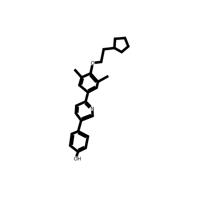 Cc1cc(-c2ccc(-c3ccc(O)cc3)cn2)cc(C)c1OCCC1CCCC1